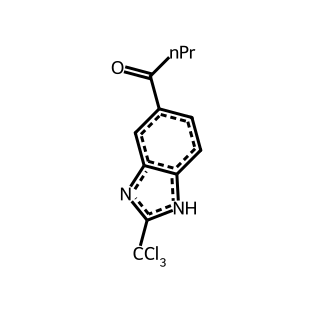 CCCC(=O)c1ccc2[nH]c(C(Cl)(Cl)Cl)nc2c1